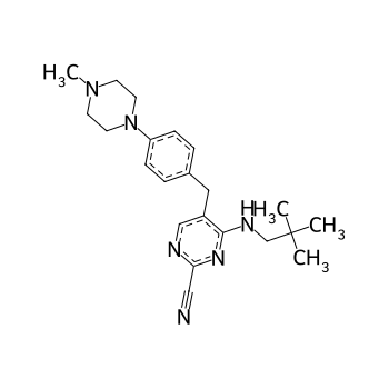 CN1CCN(c2ccc(Cc3cnc(C#N)nc3NCC(C)(C)C)cc2)CC1